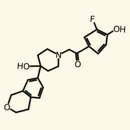 O=C(CN1CCC(O)(c2ccc3c(c2)COCC3)CC1)c1ccc(O)c(F)c1